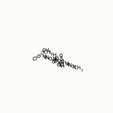 CN1CCC(N2CCN(CC[C@H](CSc3ccccc3)Nc3ccc(S(=O)(=O)NC(=O)c4ccc(N5CCN(CC6=C(c7ccc(Cl)cc7)CCC(C)(C)C6)CC5)cc4)cc3[N+](=O)[O-])CC2)CC1